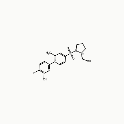 Cc1cc(S(=O)(=O)N2CCC[C@H]2CO)ccc1-c1ccc(F)c(C#N)n1